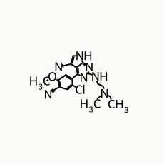 CCN(CC)CCNc1nc(-c2cc(OC)c(C#N)cc2Cl)c2c(C#N)c[nH]c2n1